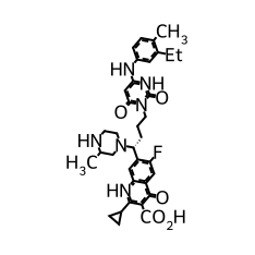 CCc1cc(Nc2cc(=O)n(CCC[C@H](c3cc4[nH]c(C5CC5)c(C(=O)O)c(=O)c4cc3F)N3CCNC(C)C3)c(=O)[nH]2)ccc1C